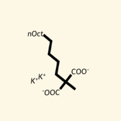 CCCCCCCCCCCCC(C)(C(=O)[O-])C(=O)[O-].[K+].[K+]